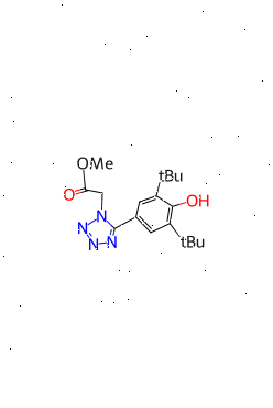 COC(=O)Cn1nnnc1-c1cc(C(C)(C)C)c(O)c(C(C)(C)C)c1